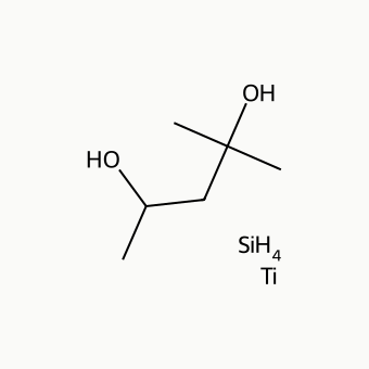 CC(O)CC(C)(C)O.[SiH4].[Ti]